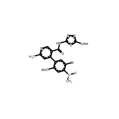 COc1nnc(NC(=O)c2cnc(C)cc2-c2cc(Br)c([S@+](C)[O-])cc2OC)s1